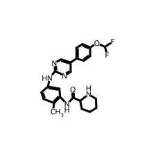 Cc1ccc(Nc2ncc(-c3ccc(OC(F)F)cc3)cn2)cc1NC(=O)C1CCCCN1